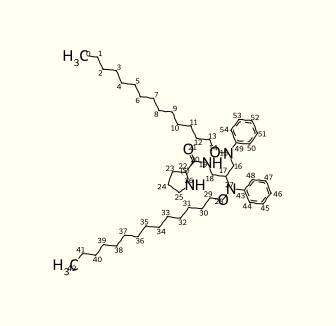 CCCCCCCCCCCCCCON(CC(CNC(=O)[C@@H]1CCCN1)N(OCCCCCCCCCCCCCC)c1ccccc1)c1ccccc1